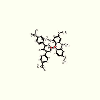 COc1ccc(CNCC(C(=O)C(CNCc2ccc(OC)cc2OC)c2ccc([N+](=O)[O-])cc2)c2ccc([N+](=O)[O-])cc2)c(OC)c1